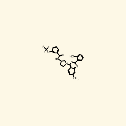 Cc1ccc2c(N3CCC(NC(=O)c4cccc(OC(F)(F)F)c4)C3)nc(-c3ccccc3O)nc2c1